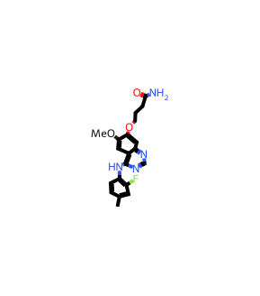 COc1cc2c(Nc3ccc(C)cc3F)ncnc2cc1OCCCC(N)=O